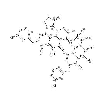 CN(c1cn2ccn(Cc3cccc(Cl)c3)c(=O)c2c(O)c1=O)S(=O)(=O)CN(CCN1CCCC1=O)C(=O)c1cn2ccn(Cc3cccc(Cl)c3)c(=O)c2c(O)c1=O